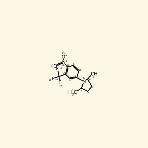 CC1CCC(C)N1c1ccc([N+](=O)[O-])c(C(F)(F)F)c1